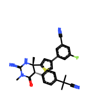 CN1C(=N)N[C@](C)(c2cc(-c3cc(F)cc(C#N)c3)cs2)[C@H](c2ccc(C(C)(C)C#N)cc2)C1=O